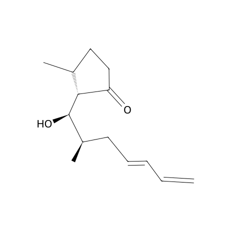 C=C/C=C/C[C@@H](C)[C@@H](O)[C@H]1C(=O)CCC1C